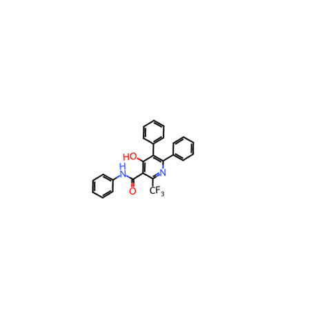 O=C(Nc1ccccc1)c1c(C(F)(F)F)nc(-c2ccccc2)c(-c2ccccc2)c1O